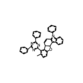 Cc1ccc2c(c1-c1nc(-c3ccccc3)nc(-c3ccccc3)n1)C1C=Cc3c(c4ccccc4n3-c3ccccc3)C1O2